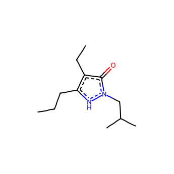 CCCc1[nH]n(CC(C)C)c(=O)c1CC